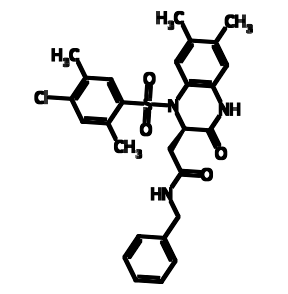 Cc1cc2c(cc1C)N(S(=O)(=O)c1cc(C)c(Cl)cc1C)[C@H](CC(=O)NCc1ccccc1)C(=O)N2